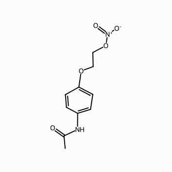 CC(=O)Nc1ccc(OCCO[N+](=O)[O-])cc1